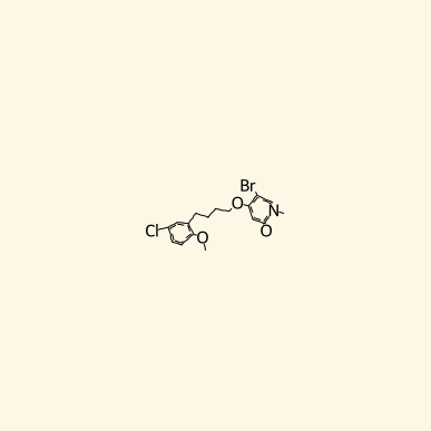 COc1ccc(Cl)cc1CCCCOc1cc(=O)n(C)cc1Br